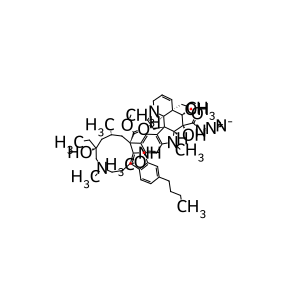 CCCCc1ccc2c3c([nH]c2c1)[C@@](C(=O)OC)(c1cc2c(cc1OC)N(C)[C@H]1[C@@](O)(C(=O)N=[N+]=[N-])[C@H](O)[C@]4(CC)C=CCN5CC[C@]21[C@@H]54)C[C@@H](C)C[C@@](O)(CC)CN(C)CC3